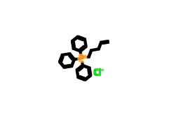 C=CCCC[P+](c1ccccc1)(c1ccccc1)c1ccccc1.[Cl-]